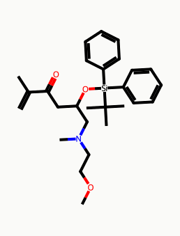 C=C(C)C(=O)CC(CN(C)CCOC)O[Si](c1ccccc1)(c1ccccc1)C(C)(C)C